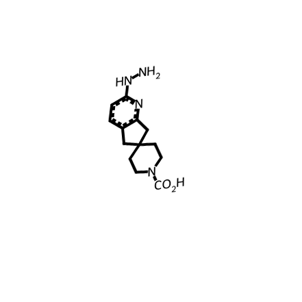 NNc1ccc2c(n1)CC1(CCN(C(=O)O)CC1)C2